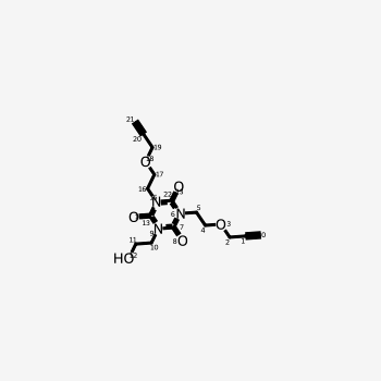 C#CCOCCn1c(=O)n(CCO)c(=O)n(CCOCC#C)c1=O